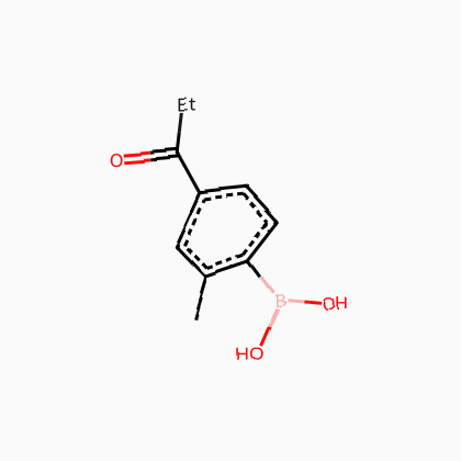 CCC(=O)c1ccc(B(O)O)c(C)c1